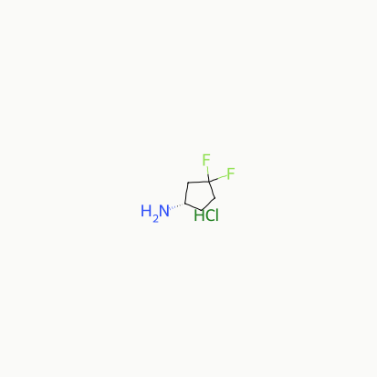 Cl.N[C@H]1CCC(F)(F)C1